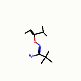 C/C=C(\O/N=C(\N)C(C)(C)C)C(C)C